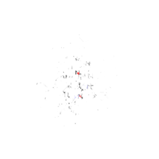 C=N/C(=N\C(=N/c1ccccc1)n1c2ccccc2c2ccc3c4ccccc4n(-c4cccc(-c5ccccc5-c5ccc(-n6c7ccccc7c7ccc8c9ccccc9n(-c9nc(-c%10ccccc%10)nc(-c%10ccccc%10)n9)c8c76)cc5)c4)c3c21)c1ccccc1